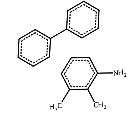 Cc1cccc(N)c1C.c1ccc(-c2ccccc2)cc1